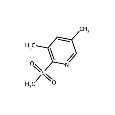 Cc1cnc(S(C)(=O)=O)c(C)c1